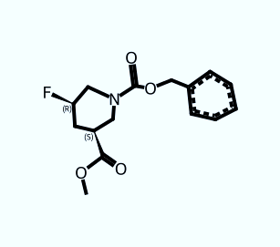 COC(=O)[C@H]1C[C@@H](F)CN(C(=O)OCc2ccccc2)C1